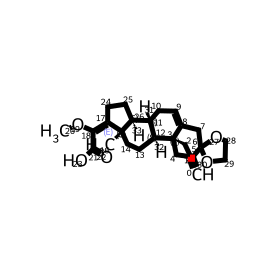 C#CC[C@]12CCC3(CC1=CC[C@@H]1[C@@H]2CC[C@]2(C)/C(=C(/OC)C(=O)O)CC[C@@H]12)OCCO3